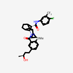 COc1ccc(CC[C@H](C)O)cc1C(=O)N[C@@H]1C2CCC(/C2=C/C2CC2)[C@@H]1C(=O)Nc1ccc(F)c(C(F)(F)F)c1